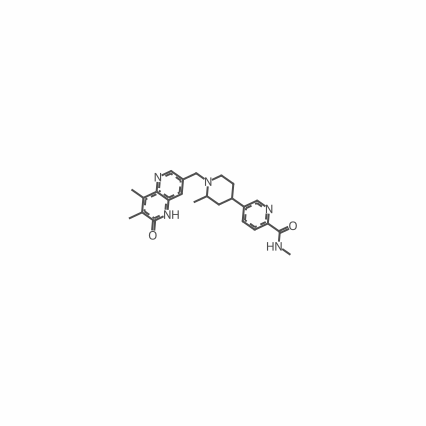 CNC(=O)c1ccc(C2CCN(Cc3cnc4c(C)c(C)c(=O)[nH]c4c3)C(C)C2)cn1